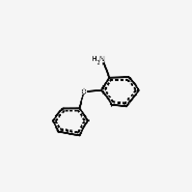 Nc1ccc[c]c1Oc1ccccc1